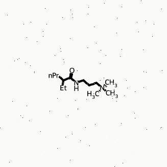 CCCC(CC)C(=O)NCCC[N+](C)(C)C